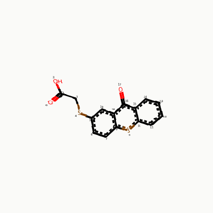 O=C(O)CSc1ccc2sc3ccccc3c(=O)c2c1